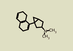 CN(C)C1CC2CC2(C2=CCCC3=C2CCC=C3)C1